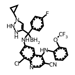 BC(Nc1cc(Cl)c2ncc(C#N)c(Nc3ccccc3OC(F)(F)F)c2c1)(C1=CN(C2CC2)NN1)c1ccc(F)cc1